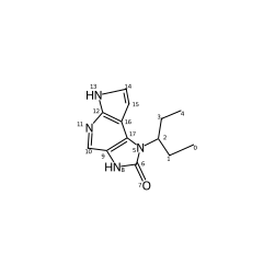 CCC(CC)n1c(=O)[nH]c2cnc3[nH]ccc3c21